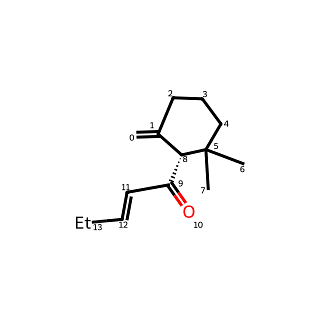 C=C1CCCC(C)(C)[C@@H]1C(=O)/C=C/CC